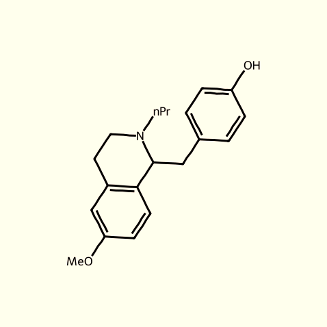 CCCN1CCc2cc(OC)ccc2C1Cc1ccc(O)cc1